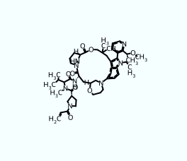 C=CC(=O)N1CC[C@H](C(=O)N(C)C(C(=O)N[C@H]2C[C@H]3CN(CCCO3)c3ccc4c(c3)c(c(-c3cccnc3[C@H](C)OC)n4CC)CC(C)(C)COC(=O)[C@@H]3CCCN(N3)C2=O)C(C)C)C1